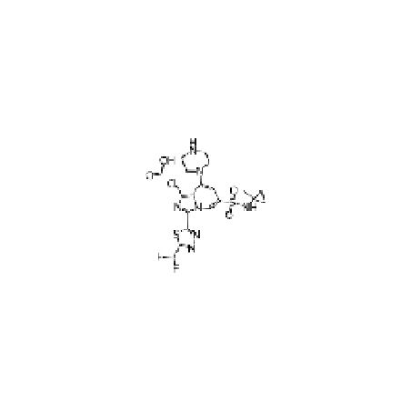 CC1(NS(=O)(=O)c2cc(N3CCNCC3)c3c(Cl)nc(-c4nnc(C(F)F)s4)n3c2)CC1.O=CO